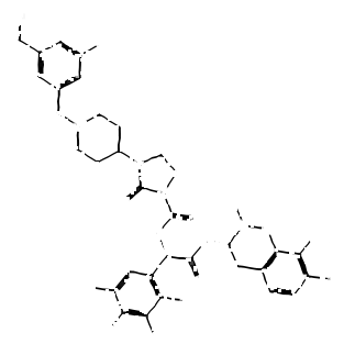 NCc1cc(O)cc(CN2CCC(N3CCN(C(=O)N[C@@H](C(=O)N[C@H]4Cc5ccc(F)c(C(=O)O)c5OB4O)c4cc(F)c(O)c(O)c4Cl)C3=O)CC2)c1